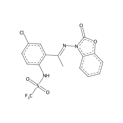 CC(=Nn1c(=O)oc2ccccc21)c1cc(Cl)ccc1NS(=O)(=O)C(F)(F)F